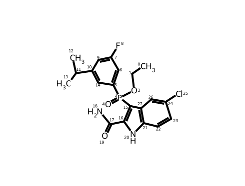 CCOP(=O)(c1cc(F)cc(C(C)C)c1)c1c(C(N)=O)[nH]c2ccc(Cl)cc12